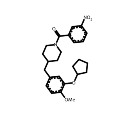 COc1ccc(CC2CCN(C(=O)c3cccc([N+](=O)[O-])c3)CC2)cc1OC1CCCC1